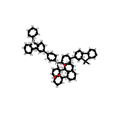 CC1(C)c2ccccc2-c2ccc(-c3ccc(N(c4ccc(-c5ccc6c(c5)c5ccccc5n6-c5ccccc5)cc4)c4ccccc4-c4cccc5cccc(-c6ccccc6)c45)cc3)cc21